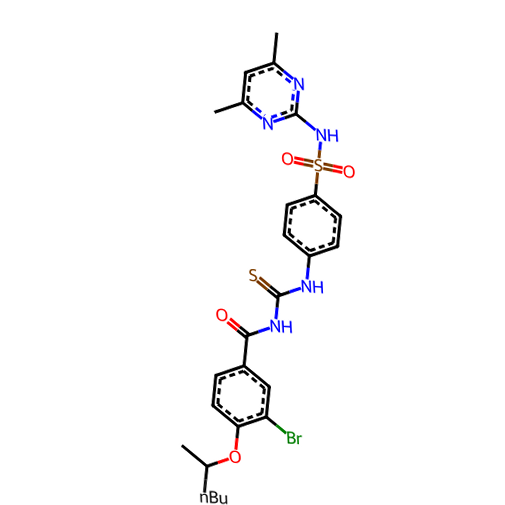 CCCCC(C)Oc1ccc(C(=O)NC(=S)Nc2ccc(S(=O)(=O)Nc3nc(C)cc(C)n3)cc2)cc1Br